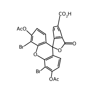 CC(=O)Oc1ccc2c(c1Br)Oc1c(ccc(OC(C)=O)c1Br)C21OC(=O)c2cc(C(=O)O)ccc21